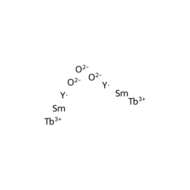 [O-2].[O-2].[O-2].[Sm].[Sm].[Tb+3].[Tb+3].[Y].[Y]